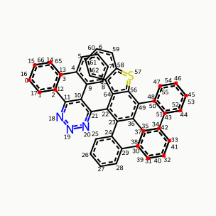 c1ccc(-c2ccccc2-c2c(-c3ccccc3)nnnc2-c2c(-c3ccccc3-c3ccccc3)c(-c3ccccc3-c3ccccc3)c(-c3ccccc3)c3sc4ccccc4c23)cc1